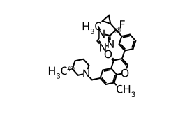 Cc1cc(CN2CCC[C@H](C)C2)cc2c(=O)c(-c3cccc([C@@](F)(c4nncn4C)C4CC4)c3)coc12